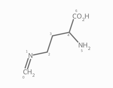 C=NCCC(N)C(=O)O